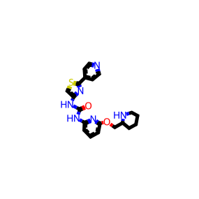 O=C(Nc1cccc(OCC2CCCCN2)n1)Nc1csc(-c2ccncc2)n1